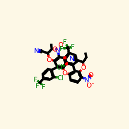 CCC(C#N)Oc1c([N+](=O)[O-])ccc(Oc2ccc([N+](=O)[O-])c(OC(C#N)CC)c2-c2ccc(C(F)(F)F)cc2Cl)c1-c1ccc(C(F)(F)F)cc1Cl